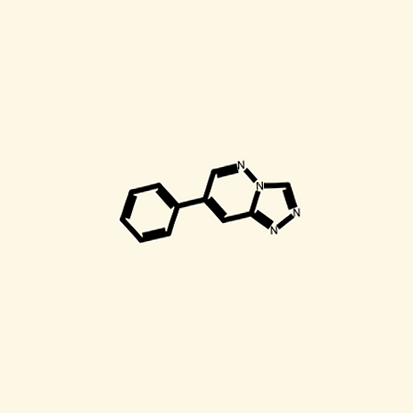 c1ccc(-c2cnn3cnnc3c2)cc1